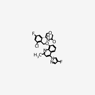 Cc1cc(-n2cc(F)cn2)c2cccc(OCc3c(Cl)cc(F)cc3[C@@H]3COCC(=O)N3)c2n1